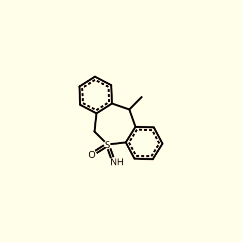 CC1c2ccccc2CS(=N)(=O)c2ccccc21